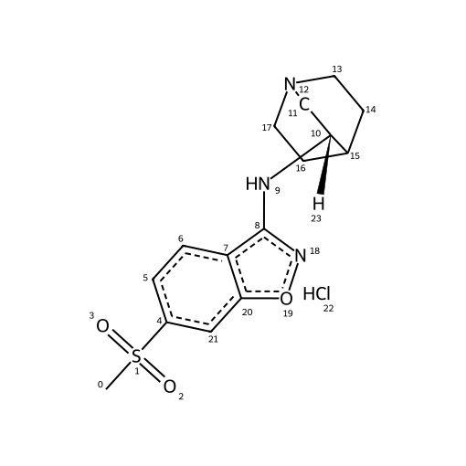 CS(=O)(=O)c1ccc2c(N[C@@H]3CN4CCC3CC4)noc2c1.Cl